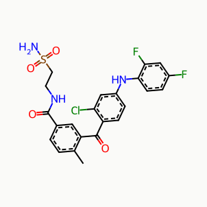 Cc1ccc(C(=O)NCCS(N)(=O)=O)cc1C(=O)c1ccc(Nc2ccc(F)cc2F)cc1Cl